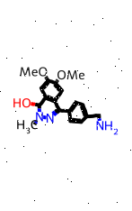 COc1cc2c(cc1OC)C(O)N(C)N=C2c1ccc(CN)cc1